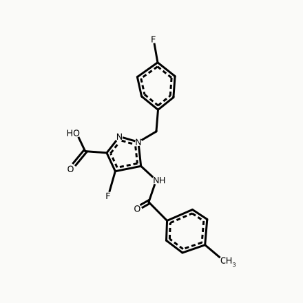 Cc1ccc(C(=O)Nc2c(F)c(C(=O)O)nn2Cc2ccc(F)cc2)cc1